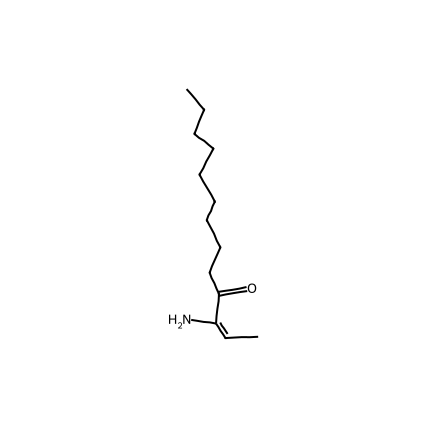 C/C=C(/N)C(=O)CCCCCCCCC